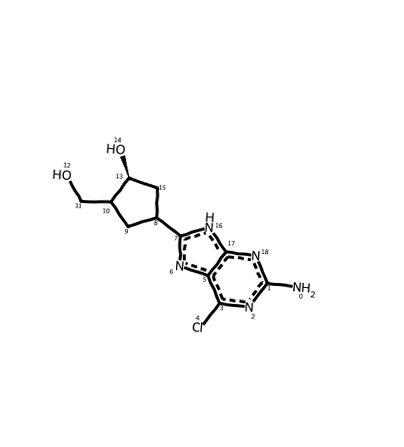 Nc1nc(Cl)c2nc(C3CC(CO)[C@@H](O)C3)[nH]c2n1